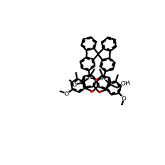 COc1cc(C)c(N(c2ccc3c(c2)C2(c4ccccc4-3)c3ccccc3-c3ccc(N(c4c(C)cc(OC)cc4C)c4c(C)cc(OC)cc4C)cc32)c2c(C)cc(CO)cc2C)c(C)c1